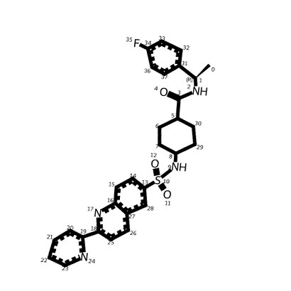 C[C@@H](NC(=O)C1CCC(NS(=O)(=O)c2ccc3nc(-c4ccccn4)ccc3c2)CC1)c1ccc(F)cc1